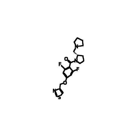 O=C(c1c(F)cc(OCc2cscn2)cc1F)N1CCC[C@H]1CN1CCCC1